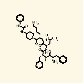 CC(C)C[C@@H](NC(=O)[C@@H](Cc1ccccc1)NC(=O)[C@H](N)Cc1ccccc1)C(=O)N[C@H](CCCCN)C(=O)N1CCC(NC(=O)Nc2ccccc2)CC1